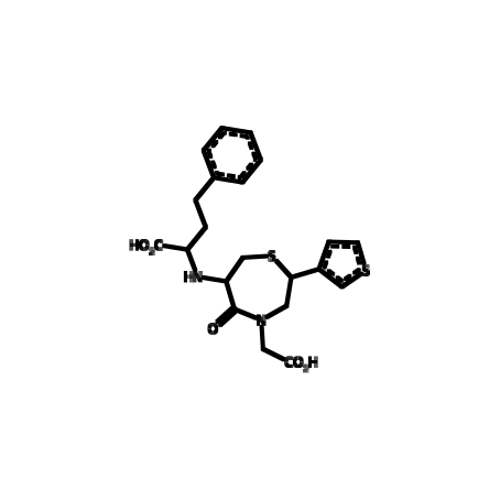 O=C(O)CN1CC(c2ccsc2)SCC(NC(CCc2ccccc2)C(=O)O)C1=O